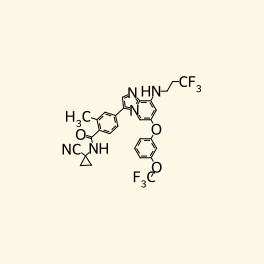 Cc1cc(-c2cnc3c(NCCC(F)(F)F)cc(Oc4cccc(OC(F)(F)F)c4)cn23)ccc1C(=O)NC1(C#N)CC1